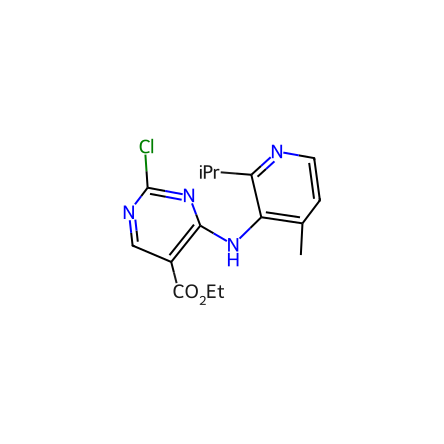 CCOC(=O)c1cnc(Cl)nc1Nc1c(C)ccnc1C(C)C